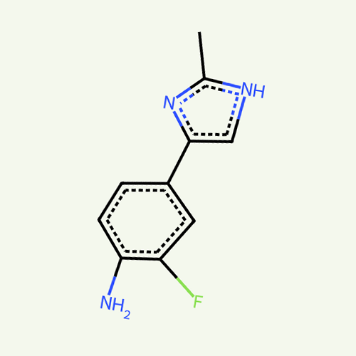 Cc1nc(-c2ccc(N)c(F)c2)c[nH]1